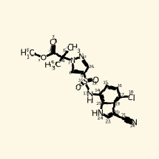 COC(=O)C(C)(C)n1cc(S(=O)(=O)Nc2ccc(Cl)c3c(C#N)c[nH]c23)cn1